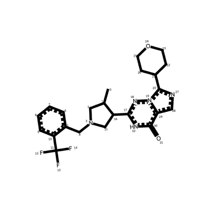 CC1CN(Cc2ccccc2C(F)(F)F)CC1c1nn2c(C3CCOCC3)ncc2c(=O)[nH]1